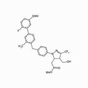 COC(=O)CC1C(CO)C(C(F)(F)F)=NN1c1ccc(Cc2ccc(-c3cc(OC)ccc3F)cc2C)cc1